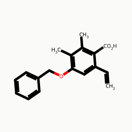 C=Cc1cc(OCc2ccccc2)c(C)c(C)c1C(=O)O